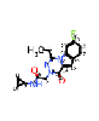 CCc1nn(CC(=O)NC2CC2)c(=O)c2cc3ccc(F)cc3n12